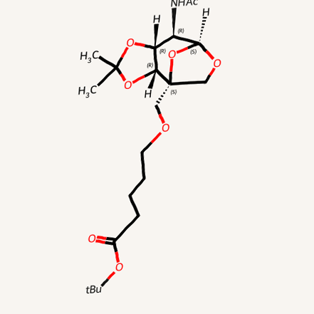 CC(=O)N[C@H]1[C@H]2OC[C@](COCCCCC(=O)OC(C)(C)C)(O2)[C@@H]2OC(C)(C)O[C@H]12